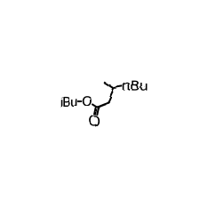 CCCCC(C)CC(=O)OC(C)CC